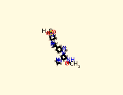 CC(=O)Nc1cc(-n2cccn2)cc(-n2cnc3cc(-c4cnn(C5CCN(S(C)(=O)=O)CC5)c4)ccc32)c1